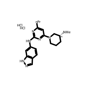 CCCc1cc(N2CCC[C@@H](NC)C2)nc(Nc2ccc3cn[nH]c3c2)n1.Cl.Cl